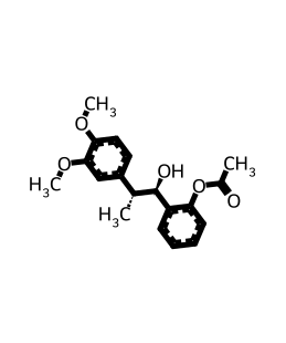 COc1ccc([C@@H](C)[C@@H](O)c2ccccc2OC(C)=O)cc1OC